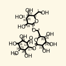 OCC1O[C@H](OCC2O[C@H](OC3C(O)[C@H](O)C(O)[C@H](O)[C@@H]3O)C(O)[C@H](O)[C@H]2O)C(O)[C@H](O)[C@H]1O